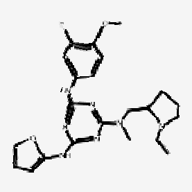 CCN1CCCC1CN(C)c1nc(Nc2ccc(OC)c(F)c2)nc(Nc2ccco2)n1